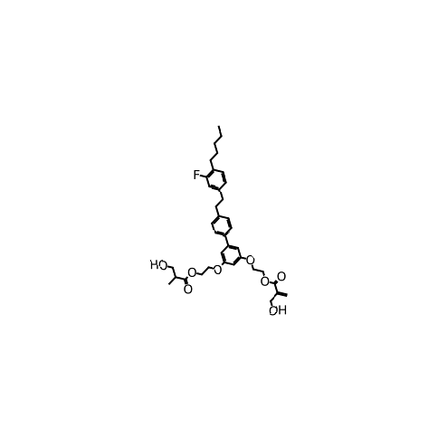 C=C(CO)C(=O)OCCOc1cc(OCCOC(=O)C(C)CO)cc(-c2ccc(CCc3ccc(CCCCC)c(F)c3)cc2)c1